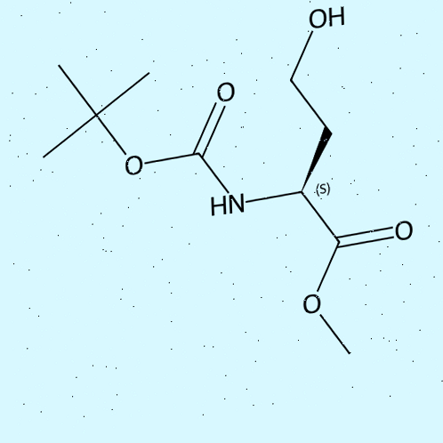 COC(=O)[C@H](CCO)NC(=O)OC(C)(C)C